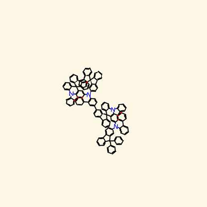 c1ccc(-c2ccccc2N(c2ccc3c(c2)C(c2ccccc2)(c2ccccc2)c2ccccc2-3)c2cc3c4c(c2)c2ccccc2n4-c2ccccc2C32c3ccccc3-c3ccc(-c4ccc(N(c5ccc6c(c5)C5(c7ccccc7-c7ccccc75)c5ccccc5-6)c5cc6c7c(c5)c5ccccc5n7-c5ccccc5C65c6ccccc6-c6ccccc65)c(-c5ccccc5)c4)cc32)cc1